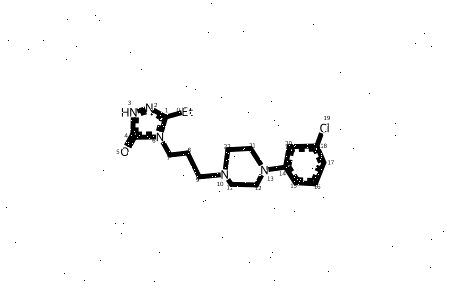 CCc1n[nH]c(=O)n1CCCN1CCN(c2cccc(Cl)c2)CC1